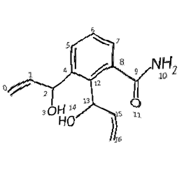 C=CC(O)c1cccc(C(N)=O)c1C(O)C=C